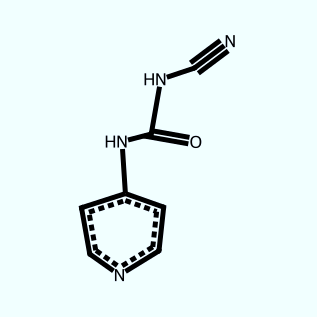 N#CNC(=O)Nc1ccncc1